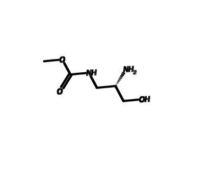 COC(=O)NC[C@H](N)CO